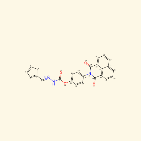 O=C(N/N=C/C1=CC=CC1)Oc1ccc(N2C(=O)c3cccc4cccc(c34)C2=O)cc1